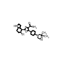 CCc1ccc2[nH]ccc2c1-c1nc(C(N)=O)c(-c2ccc(N3CCNC(C)(C)C3)cc2)o1